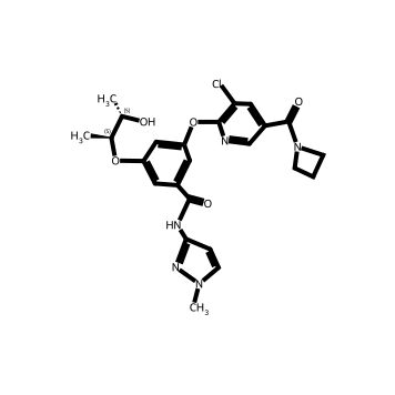 C[C@H](O)[C@H](C)Oc1cc(Oc2ncc(C(=O)N3CCC3)cc2Cl)cc(C(=O)Nc2ccn(C)n2)c1